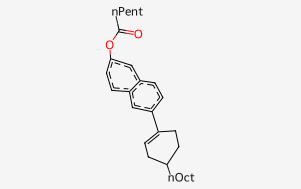 CCCCCCCCC1CC=C(c2ccc3cc(OC(=O)CCCCC)ccc3c2)CC1